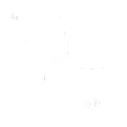 CCOC(=O)C1CC1c1ccc(Br)cc1F